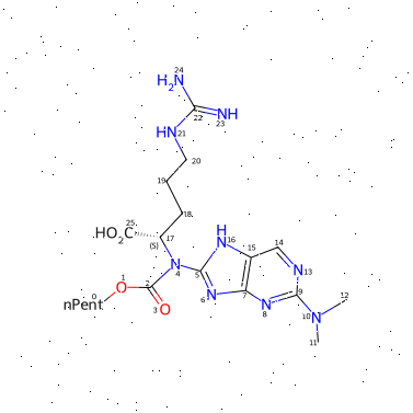 CCCCCOC(=O)N(c1nc2nc(N(C)C)ncc2[nH]1)[C@@H](CCCNC(=N)N)C(=O)O